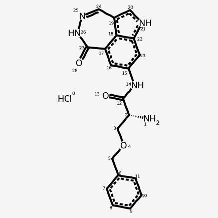 Cl.N[C@H](COCc1ccccc1)C(=O)Nc1cc2c3c(c[nH]c3c1)C=NNC2=O